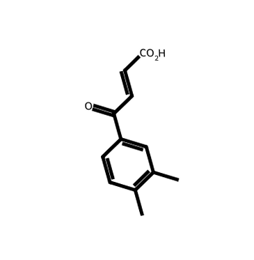 Cc1ccc(C(=O)C=CC(=O)O)cc1C